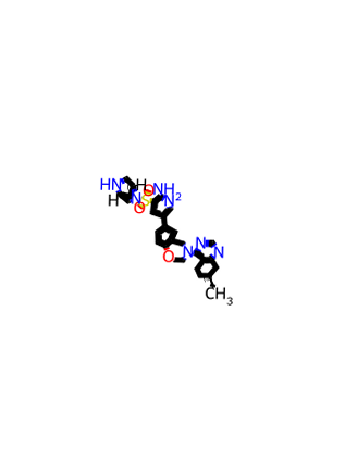 CC[C@H]1CCc2c(ncnc2N2CCOc3ccc(-c4cnc(N)c(S(=O)(=O)N5C[C@@H]6C[C@H]5CN6)c4)cc3C2)C1